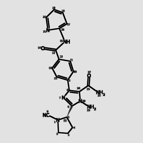 N#CN1CCC[C@H]1c1nc(-c2ccc(C(=O)Nc3ccccn3)cc2)c(C(N)=O)n1N